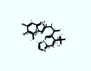 Cc1cc2nc(CC(C)c3cn4ccnc4cc3C(F)(F)F)cn2c(C)c1C